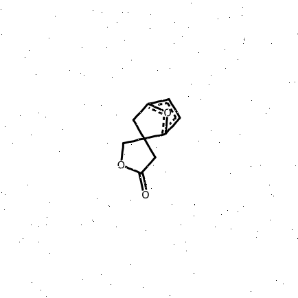 O=C1CC2(CO1)Cc1ccc2o1